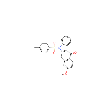 COc1ccc2c(c1)Cc1c(c3ccccc3n1S(=O)(=O)c1ccc(C)cc1)C2=O